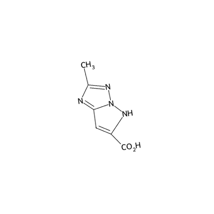 Cc1nc2cc(C(=O)O)[nH]n2n1